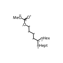 CCCCCCCC(CCCCCC)CCCCOC(=O)OC